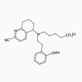 CCOC(=O)CCCCN(CCc1ccccc1OC)C1CCCc2nc(C#N)ccc21